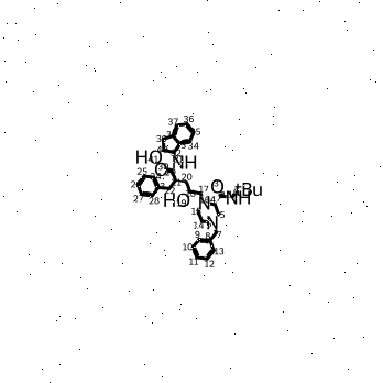 CC(C)(C)NC(=O)[C@@H]1CN(Cc2ccccc2)CCN1C[C@@H](O)C[C@@H](Cc1ccccc1)C(=O)N[C@H]1c2ccccc2C[C@H]1O